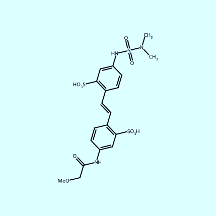 COCC(=O)Nc1ccc(/C=C/c2ccc(NS(=O)(=O)N(C)C)cc2S(=O)(=O)O)c(S(=O)(=O)O)c1